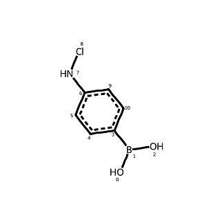 OB(O)c1ccc(NCl)cc1